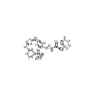 CS(=O)(=O)Nc1cccc(CN2CC[C@@H](Nc3cnc(/C=C/C(=O)NOC4CCCCO4)cn3)C2)c1